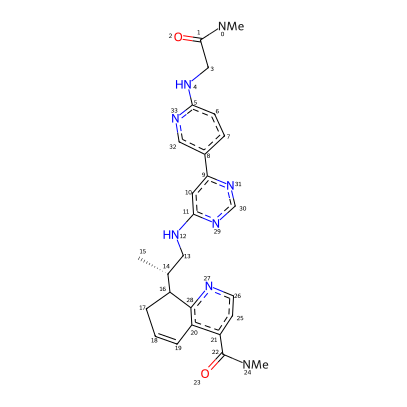 CNC(=O)CNc1ccc(-c2cc(NC[C@@H](C)C3CC=Cc4c(C(=O)NC)ccnc43)ncn2)cn1